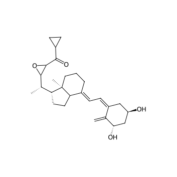 C=C1/C(=C\C=C2/CCC[C@@]3(C)C2CC[C@@H]3[C@H](C)C2OC2C(=O)C2CC2)C[C@@H](O)C[C@@H]1O